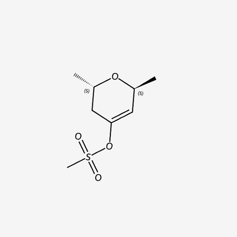 C[C@H]1C=C(OS(C)(=O)=O)C[C@H](C)O1